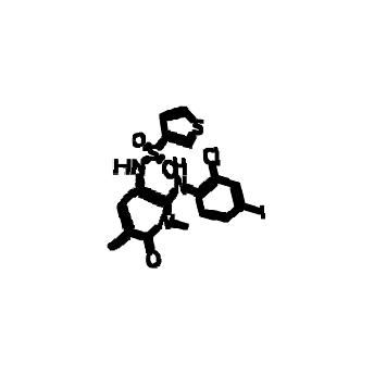 Cc1cc(NS(=O)(=O)c2ccsc2)c(Nc2ccc(I)cc2Cl)n(C)c1=O